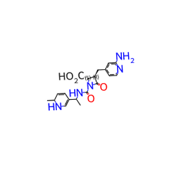 CC1C=CC(C(C)NC(=O)N2C(=O)[C@H](Cc3ccnc(N)c3)[C@H]2C(=O)O)=CN1